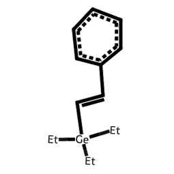 C[CH2][Ge]([CH]=Cc1ccccc1)([CH2]C)[CH2]C